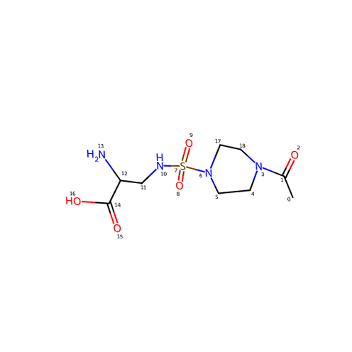 CC(=O)N1CCN(S(=O)(=O)NCC(N)C(=O)O)CC1